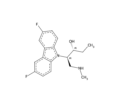 CC[C@@H](O)[C@@H](CNC)n1c2ccc(F)cc2c2cc(F)ccc21